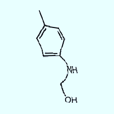 Cc1ccc(NCO)cc1